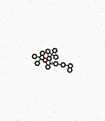 c1ccc(-c2c(-c3ccccc3)c3cc(-c4ccccc4N(c4ccc(-c5ccc(-c6cccc7ccccc67)cc5)cc4)c4ccc5c(c4)C(c4ccccc4)(c4ccccc4)c4ccccc4-5)ccc3c3ccccc23)cc1